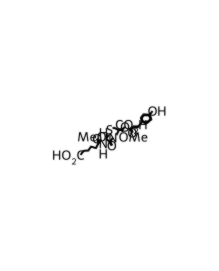 COC(OC(=O)C=Cc1ccc(O)cc1)C1(C(=O)O)CS[C@H]2N(C1)C(=O)C2(NC(=O)CCCCC(=O)O)OC